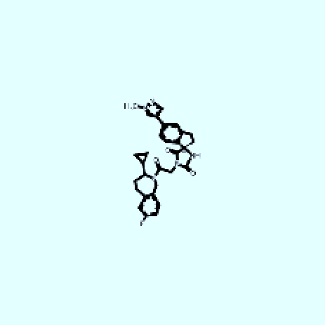 Cn1cc(-c2ccc3c(c2)CC[C@]32NC(=O)N(CC(=O)N3Cc4ccc(F)cc4CCC3C3CC3)C2=O)cn1